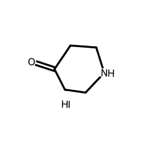 I.O=C1CCNCC1